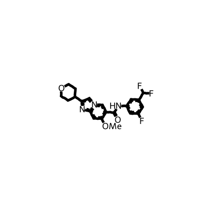 COc1cc2nc(C3CCOCC3)cn2cc1C(=O)Nc1cc(F)cc(C(F)F)c1